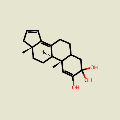 C[C@@]12CC=CC1=C1CCC3CC(O)(O)C(O)=C[C@]3(C)[C@H]1CC2